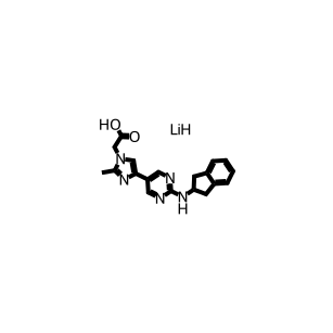 Cc1nc(-c2cnc(NC3Cc4ccccc4C3)nc2)cn1CC(=O)O.[LiH]